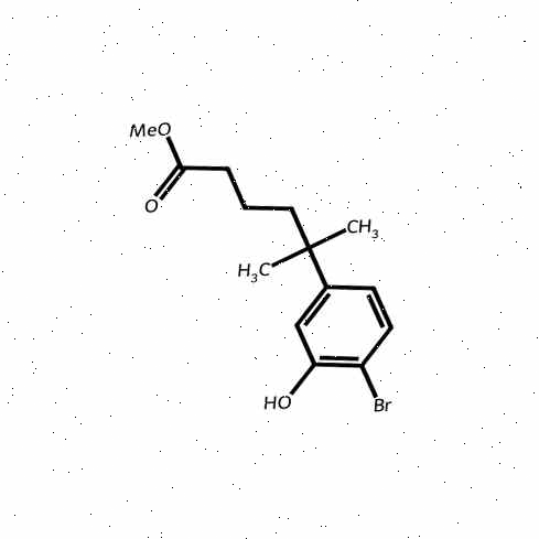 COC(=O)CCCC(C)(C)c1ccc(Br)c(O)c1